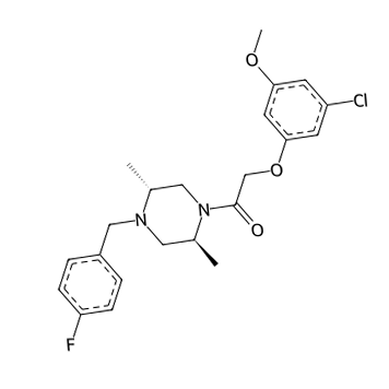 COc1cc(Cl)cc(OCC(=O)N2C[C@@H](C)N(Cc3ccc(F)cc3)C[C@@H]2C)c1